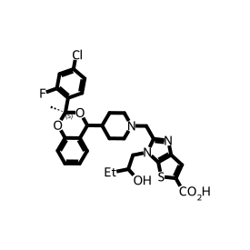 CCC(O)Cn1c(CN2CCC(C3O[C@](C)(c4ccc(Cl)cc4F)Oc4ccccc43)CC2)nc2cc(C(=O)O)sc21